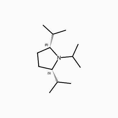 CC(C)[C@H]1CC[C@@H](C(C)C)N1C(C)C